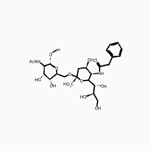 CC(=O)NC1[C@H](OC(C)C)OC(CO[C@]2(C(=O)O)C[C@@H](O)[C@@H](NC(=O)Cc3ccccc3)C([C@H](O)[C@H](O)CO)O2)[C@H](O)[C@@H]1O